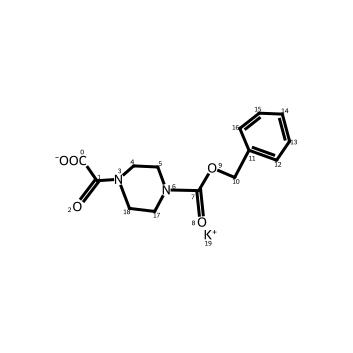 O=C([O-])C(=O)N1CCN(C(=O)OCc2ccccc2)CC1.[K+]